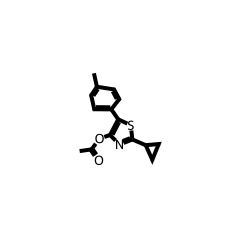 CC(=O)Oc1nc(C2CC2)sc1-c1ccc(C)cc1